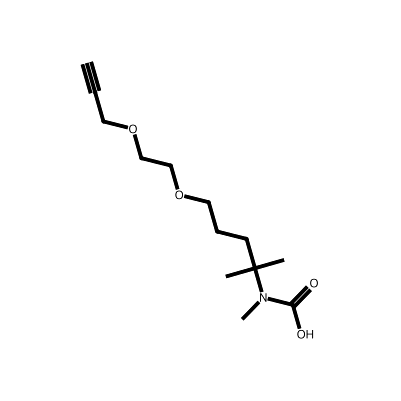 C#CCOCCOCCCC(C)(C)N(C)C(=O)O